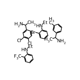 CC(N)c1ccc(Cl)c(Cl)c1.CCNc1ccccc1Br.CCNc1ccccc1C(F)(F)F.Cc1cccc(C(C)N)c1